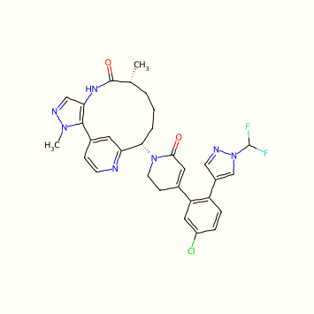 C[C@@H]1CCC[C@H](N2CCC(c3cc(Cl)ccc3-c3cnn(C(F)F)c3)=CC2=O)c2cc(ccn2)-c2c(cnn2C)NC1=O